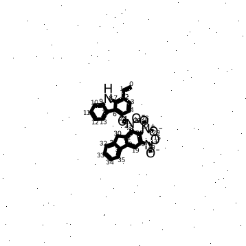 C=Cc1cccc2c1[nH]c1ccccc12.O=[N+]([O-])c1cc2c(c([N+](=O)[O-])c1[N+](=O)[O-])Cc1ccccc1-2